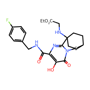 CCOC(=O)CNC12CCC(CC1)Cn1c2nc(C(=O)NCc2ccc(F)cc2)c(O)c1=O